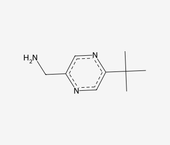 CC(C)(C)c1cnc(CN)cn1